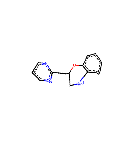 c1cnc(C2CNc3ccccc3O2)nc1